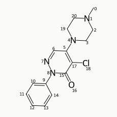 CN1CCN(c2cnn(-c3ccccc3)c(=O)c2Cl)CC1